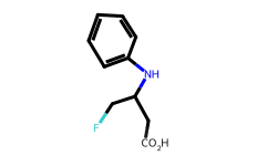 O=C(O)CC(CF)Nc1ccccc1